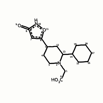 O=C(O)CN1CCC(c2cc(=O)[nH]o2)CC1C1CCCCC1